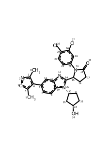 Cc1noc(C)c1-c1ccc2c(c1)nc(C1CCC(=O)N1c1ccc(Cl)c(Cl)c1)n2[C@@H]1CC[C@@H](O)C1